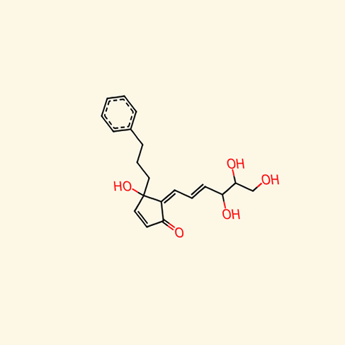 O=C1C=CC(O)(CCCc2ccccc2)/C1=C/C=C/C(O)C(O)CO